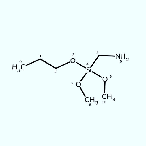 CCCO[Si](CN)(OC)OC